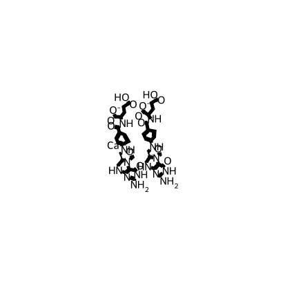 Nc1nc2c(c(=O)[nH]1)N(C=O)[C@H](CNc1ccc(C(=O)NC(CCC(=O)O)C(=O)[O-])cc1)CN2.Nc1nc2c(c(=O)[nH]1)N(C=O)[C@H](CNc1ccc(C(=O)NC(CCC(=O)O)C(=O)[O-])cc1)CN2.[Ca+2]